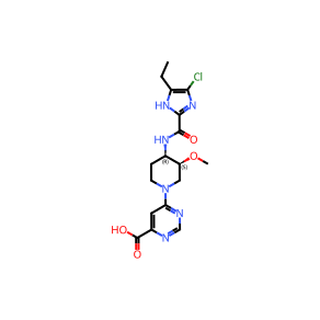 CCc1[nH]c(C(=O)N[C@@H]2CCN(c3cc(C(=O)O)ncn3)C[C@@H]2OC)nc1Cl